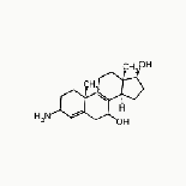 C[C@]12CCC(N)C=C1CC(O)C1=C2CC[C@]2(C)C(O)CC[C@@H]12